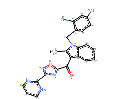 Cc1c(C(=O)c2nc(-c3ncccn3)no2)c2ccccc2n1Cc1ccc(Cl)cc1Cl